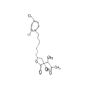 CC(=O)C(O)C1(O)CC(CCCCCCc2ccc(Cl)cc2Cl)OC1=O